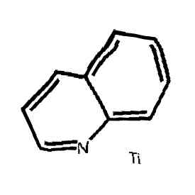 [Ti].c1ccc2ncccc2c1